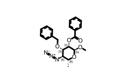 CO[C@H]1O[C@H](C)[C@@H](N=[N+]=[N-])[C@H](OCc2ccccc2)[C@@H]1OC(=O)c1ccccc1